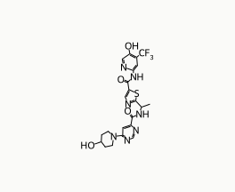 CC(NC(=O)c1cc(N2CCC(O)CC2)ncn1)c1ncc(C(=O)Nc2cc(C(F)(F)F)c(O)cn2)s1